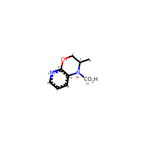 CC1COc2ncccc2N1C(=O)O